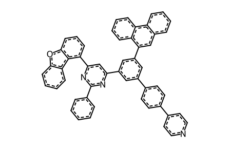 c1ccc(-c2nc(-c3cc(-c4ccc(-c5ccncc5)cc4)cc(-c4cc5ccccc5c5ccccc45)c3)cc(-c3cccc4oc5ccccc5c34)n2)cc1